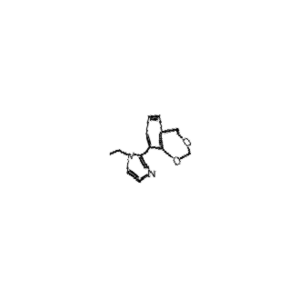 CCn1ccnc1-c1cccc2c1OCOC2